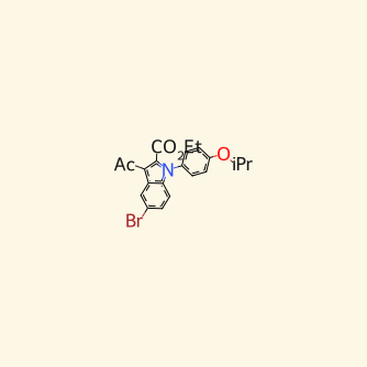 CCOC(=O)c1c(C(C)=O)c2cc(Br)ccc2n1-c1ccc(OC(C)C)cc1